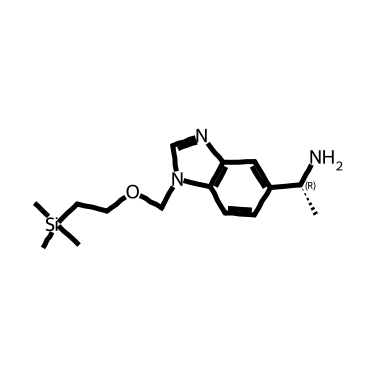 C[C@@H](N)c1ccc2c(c1)ncn2COCC[Si](C)(C)C